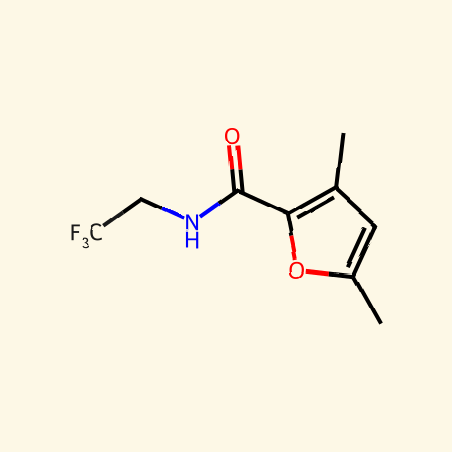 Cc1cc(C)c(C(=O)NCC(F)(F)F)o1